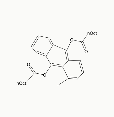 CCCCCCCCC(=O)Oc1c2ccccc2c(OC(=O)CCCCCCCC)c2c(C)cccc12